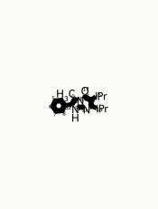 Cc1c(-c2ccccc2)[nH]c2nc(C(C)C)c(C(C)C)c(=O)n12